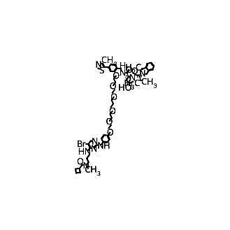 C=C1c2ccccc2CN1[C@H](C(=O)N1C[C@H](O)C[C@H]1C(=O)NCc1ccc(-c2scnc2C)cc1OCCOCCOCCCOCCOCCOc1ccc(Nc2ncc(Br)c(NCCCN(C)C(=O)C3CCC3)n2)cc1)C(C)C